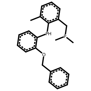 Cc1cccc(CP(C)C)c1Pc1ccccc1OCc1ccccc1